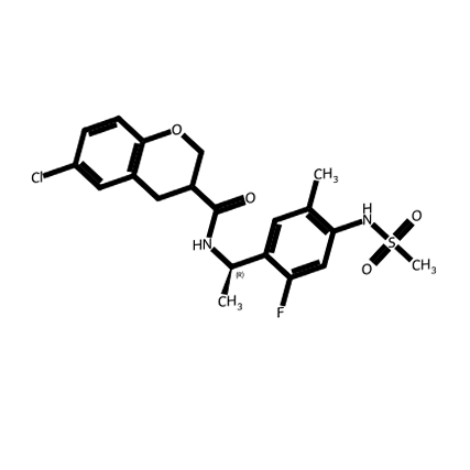 Cc1cc([C@@H](C)NC(=O)C2COc3ccc(Cl)cc3C2)c(F)cc1NS(C)(=O)=O